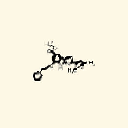 COC(=O)c1cc(OCCCN2CCCCC2)c2[nH]c3nc(-c4cc(C)nn4C)ncc3c2c1